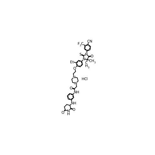 CCc1cc(N2C(=S)N(c3ccc(C#N)c(C(F)(F)F)c3)C(=O)C2(C)C)ccc1OCCN1CCN(CC(=O)Nc2cccc(NC3CCC(=O)NC3=O)c2)CC1.Cl